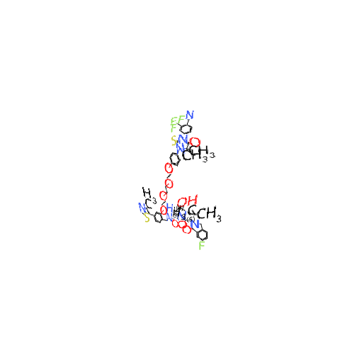 Cc1ncsc1-c1ccc(CNC(=O)[C@@H]2C[C@@H](O)CN2C(=O)[C@H](C(C)C)N2Cc3ccc(F)cc3C2=O)c(OCCOCCOCCOc2ccc(N3C(=S)N(c4ccc(C#N)c(C(F)(F)F)c4)C(=O)C3(C)C)cc2)c1